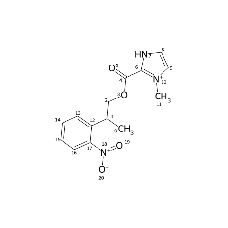 CC(COC(=O)c1[nH]cc[n+]1C)c1ccccc1[N+](=O)[O-]